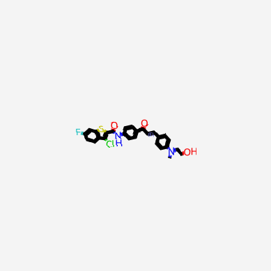 CN(CCO)c1ccc(/C=C/C(=O)c2ccc(NC(=O)c3sc4cc(F)ccc4c3Cl)cc2)cc1